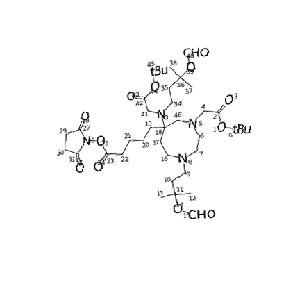 CC(C)(C)OC(=O)CN1CCN(CCC(C)(C)OC=O)CCC(CCCCC(=O)ON2C(=O)CCC2=O)(N(CCC(C)(C)OC=O)CC(=O)OC(C)(C)C)C1